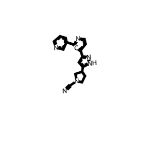 N#CN1CCC(c2cc(-c3ccnc(-c4cccnc4)c3)n[nH]2)C1